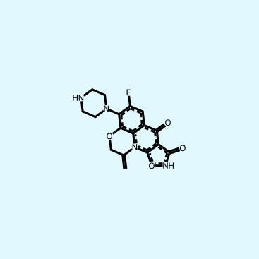 C=C1COc2c(N3CCNCC3)c(F)cc3c(=O)c4c(=O)[nH]oc4n1c23